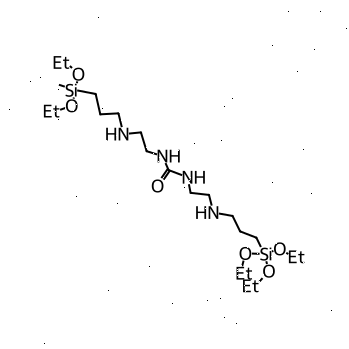 CCO[Si](C)(CCCNCCNC(=O)NCCNCCC[Si](OCC)(OCC)OCC)OCC